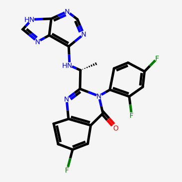 C[C@@H](Nc1ncnc2[nH]cnc12)c1nc2ccc(F)cc2c(=O)n1-c1ccc(F)cc1F